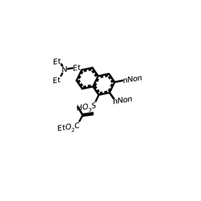 C=C(C)C(=O)OCC.CCCCCCCCCc1cc2ccccc2c(S(=O)(=O)O)c1CCCCCCCCC.CCN(CC)CC